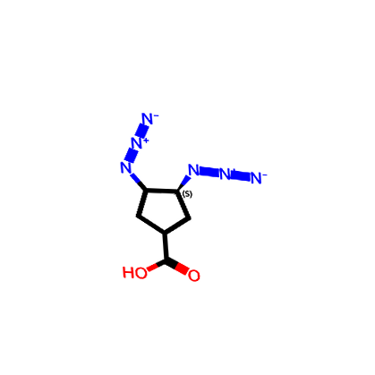 [N-]=[N+]=NC1CC(C(=O)O)C[C@@H]1N=[N+]=[N-]